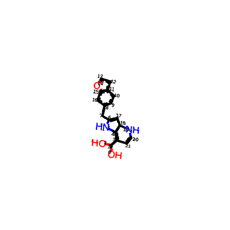 OC(O)C1=C2NC(Cc3ccc4ccoc4c3)=CC2NC=C1